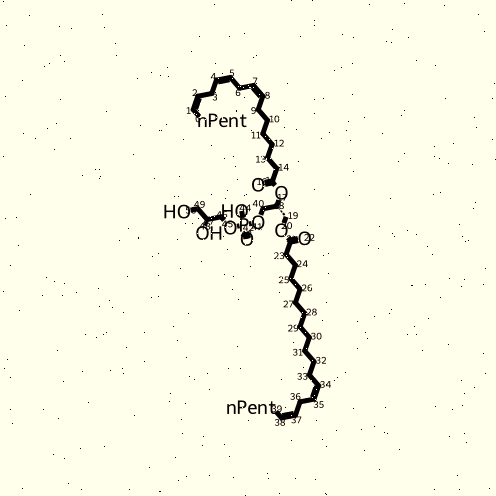 CCCCC/C=C\C/C=C\C/C=C\CCCCCCC(=O)O[C@H](COC(=O)CCCCCCCCCCC/C=C\C/C=C\CCCCC)COP(=O)(O)OC[C@@H](O)CO